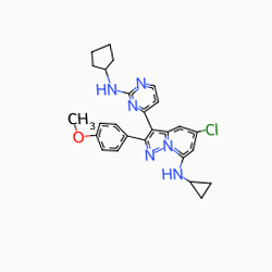 COc1ccc(-c2nn3c(NC4CC4)cc(Cl)cc3c2-c2ccnc(NC3CCCC3)n2)cc1